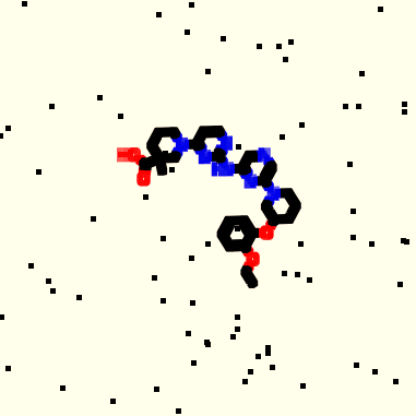 CCOc1ccccc1OC1CCCN(c2cncc(Nc3nccc(N4CCCC(C)(C(=O)O)C4)n3)n2)C1